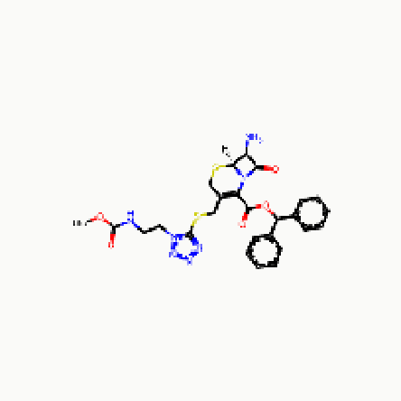 CC(C)(C)OC(=O)NCCn1nnnc1SCC1=C(C(=O)OC(c2ccccc2)c2ccccc2)N2C(=O)C(N)[C@@H]2SC1